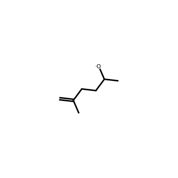 C=C(C)CCC(C)[O]